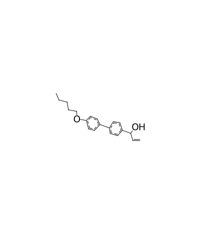 C=CC(O)c1ccc(-c2ccc(OCCCCC)cc2)cc1